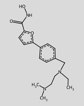 CCN(CCN(C)C)Cc1ccc(-c2ccc(C(=O)NO)o2)cc1